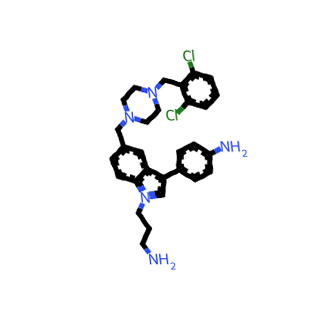 NCCCn1cc(-c2ccc(N)cc2)c2cc(CN3CCN(Cc4c(Cl)cccc4Cl)CC3)ccc21